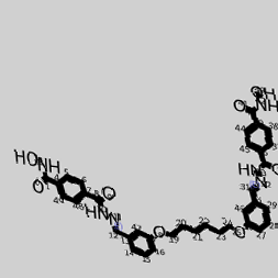 O=C(NO)c1ccc(C(=O)N/N=C/c2cccc(OCCCCCCOc3cccc(/C=N/NC(=O)c4ccc(C(=O)NO)cc4)c3)c2)cc1